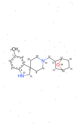 Cc1ccc2c(c1)C1(CCN(CC3CC4CCC3O4)CC1)CN2